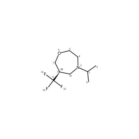 CC(C)N1CCOC[C@H](C(F)(F)F)C1